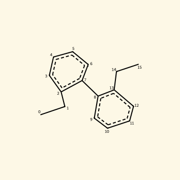 CCc1ccc[c]c1-c1ccccc1CC